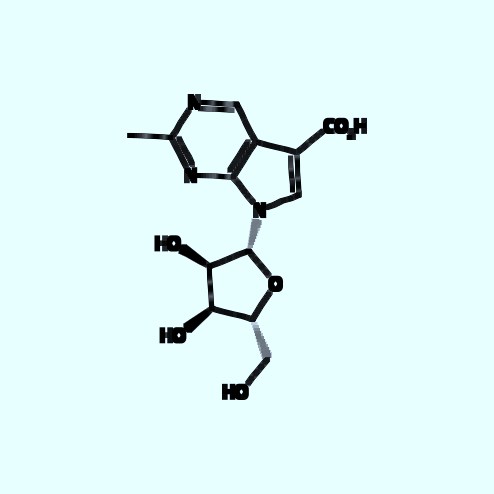 Cc1ncc2c(C(=O)O)cn([C@@H]3O[C@H](CO)[C@@H](O)[C@H]3O)c2n1